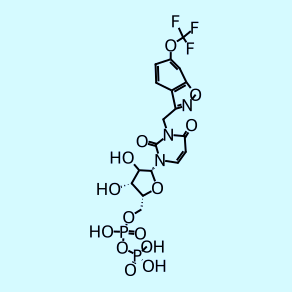 O=c1ccn([C@@H]2O[C@H](COP(=O)(O)OP(=O)(O)O)[C@H](O)C2O)c(=O)n1Cc1noc2cc(OC(F)(F)F)ccc12